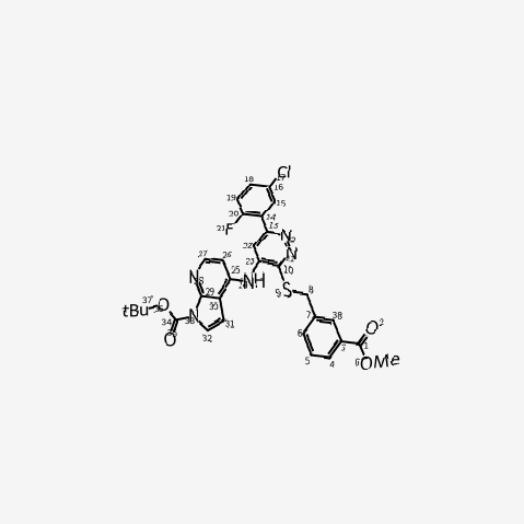 COC(=O)c1cccc(CSc2nnc(-c3cc(Cl)ccc3F)cc2Nc2ccnc3c2ccn3C(=O)OC(C)(C)C)c1